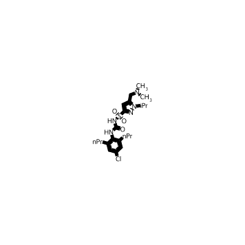 CCCc1cc(Cl)cc(CCC)c1NC(=O)NS(=O)(=O)c1cc(CN(C)C)n(C(C)C)n1